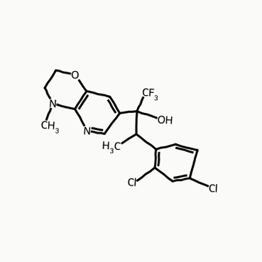 CC(c1ccc(Cl)cc1Cl)C(O)(c1cnc2c(c1)OCCN2C)C(F)(F)F